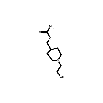 NC(=O)OCC1CCN(CCO)CC1